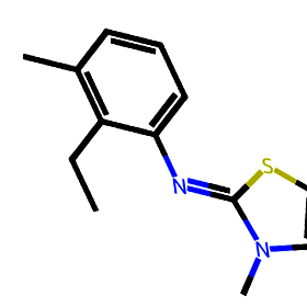 CCc1c(C)cccc1N=c1sccn1C